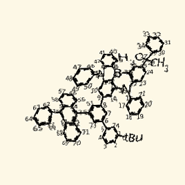 CC(C)(C)c1cccc(-c2cc(-c3cc4c5c(c3)N(c3ccccc3)c3ccc(C(C)(C)c6ccccc6)cc3B5c3ccccc3N4c3ccccc3)cc(-c3c4ccccc4c(-c4ccccc4)c4ccccc34)c2)c1